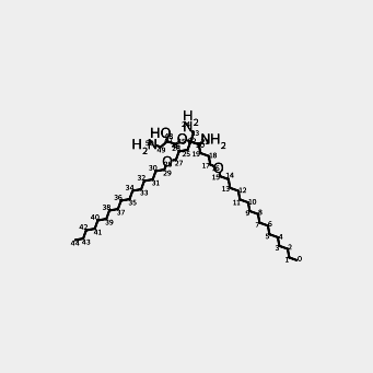 CCCCCCCCCCCCCCCCOCCCC(N)C(CN)(CCCOCCCCCCCCCCCCCCCC)OCC(O)CN